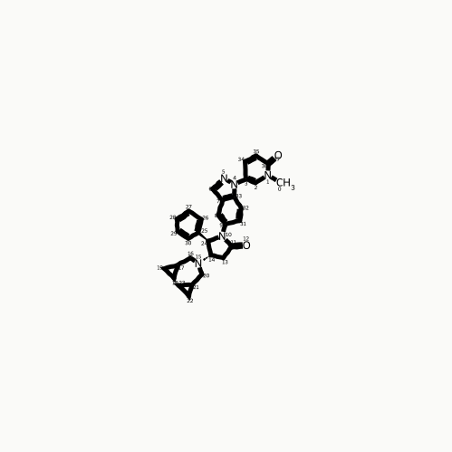 Cn1cc(-n2ncc3cc(N4C(=O)C[C@H](N(CC5CC5)CC5CC5)[C@H]4c4ccccc4)ccc32)ccc1=O